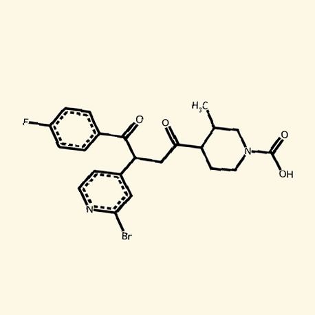 CC1CN(C(=O)O)CCC1C(=O)CC(C(=O)c1ccc(F)cc1)c1ccnc(Br)c1